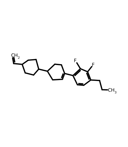 C=CC1CCC(C2CC=C(c3ccc(CCC)c(F)c3F)CC2)CC1